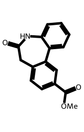 COC(=O)c1ccc2c(c1)-c1ccccc1NC(=O)C2